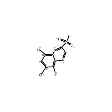 CS(=O)(=O)c1cnc2c(Cl)c(Cl)cc(Cl)c2n1